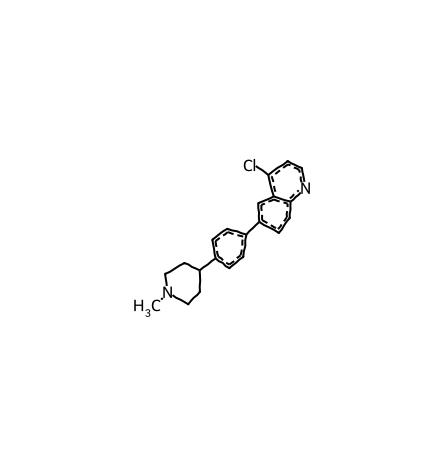 CN1CCC(c2ccc(-c3ccc4nccc(Cl)c4c3)cc2)CC1